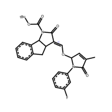 CC1=CC(O/C=C2/C(=O)N(C(=O)OC(C)(C)C)C3c4ccccc4CC23)N(c2cccc(F)c2)C1=O